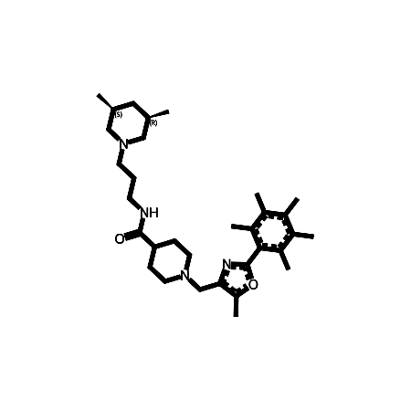 Cc1oc(-c2c(C)c(C)c(C)c(C)c2C)nc1CN1CCC(C(=O)NCCCN2C[C@H](C)C[C@H](C)C2)CC1